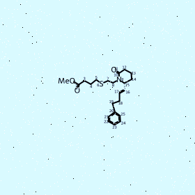 COC(=O)CCCSCCN1C(=O)CCC[C@@H]1/C=C/CCc1ccccc1